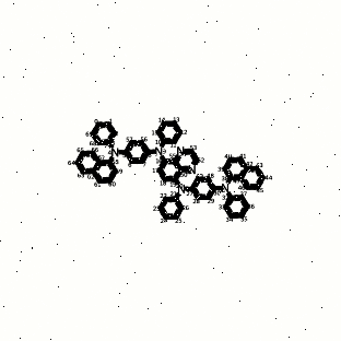 c1ccc(N(c2ccc(N(c3ccccc3)c3ccc(N(c4ccccc4)c4ccc(N(c5ccccc5)c5cccc6ccccc56)cc4)c4nccnc34)cc2)c2cccc3ccccc23)cc1